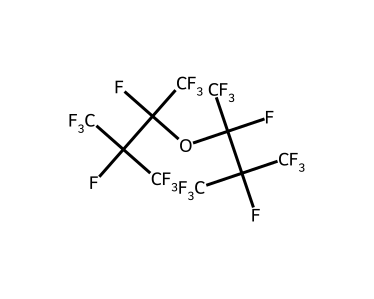 FC(F)(F)C(F)(OC(F)(C(F)(F)F)C(F)(C(F)(F)F)C(F)(F)F)C(F)(C(F)(F)F)C(F)(F)F